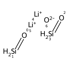 O=[SiH2].O=[SiH2].[Li+].[Li+].[O-2]